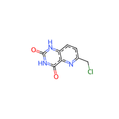 O=c1[nH]c(=O)c2nc(CCl)ccc2[nH]1